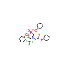 O=C(CN(CP(=O)(OOc1ccccc1)OOc1ccccc1)C(=O)C(F)(F)F)Oc1ccccc1